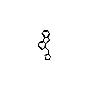 C1=CCC(Cc2cccc3c2Cc2ccccc2-3)=C1